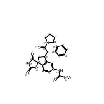 CNC(=O)Nc1ccc2c(c1)C(CC(=O)N1CCC[C@@H]1c1ccccc1)C[C@]21OC(=O)NC1=O